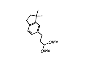 COC(CCc1ccc2c(c1)C(C)(C)CC2)OC